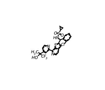 CC(O)(c1ccnc(-c2nccc3cc(C(NS(=O)(=O)C4CC4)c4ccccc4Cl)sc23)c1)C(F)(F)F